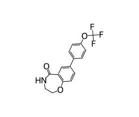 O=C1NCCOc2ccc(-c3ccc(OC(F)(F)F)cc3)cc21